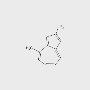 Cc1cc2ccccc(C)c-2c1